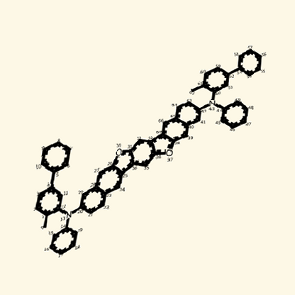 Cc1ccc(-c2ccccc2)cc1N(c1ccccc1)c1ccc2cc3c(cc2c1)oc1cc2c(cc13)oc1cc3cc(N(c4ccccc4)c4cc(-c5ccccc5)ccc4C)ccc3cc12